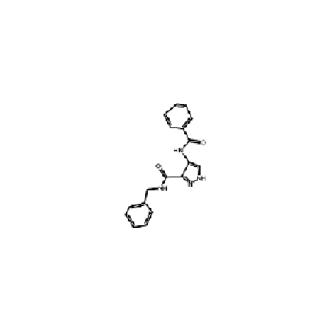 O=C(Nc1c[nH]nc1C(=O)NCc1ccccc1)c1ccccc1